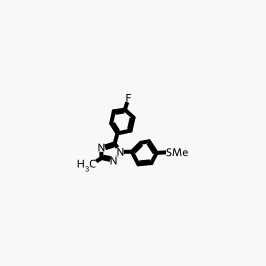 CSc1ccc(-n2nc(C)nc2-c2ccc(F)cc2)cc1